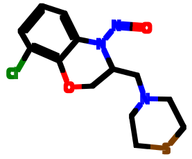 O=NN1c2cccc(Cl)c2OCC1CN1CCSCC1